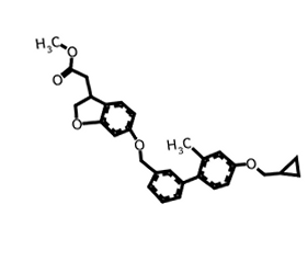 COC(=O)CC1COc2cc(OCc3cccc(-c4ccc(OCC5CC5)cc4C)c3)ccc21